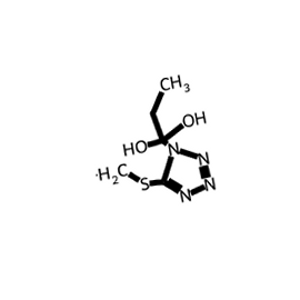 [CH2]Sc1nnnn1C(O)(O)CC